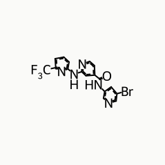 O=C(Nc1cncc(Br)c1)c1ccnc(Nc2cccc(C(F)(F)F)n2)c1